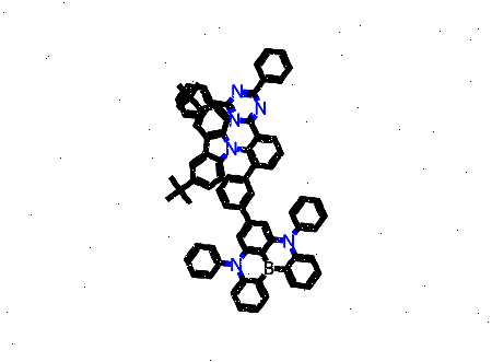 CC(C)(C)c1ccc2c(c1)c1cc(C(C)(C)C)ccc1n2-c1c(-c2cccc(-c3cc4c5c(c3)N(c3ccccc3)c3ccccc3B5c3ccccc3N4c3ccccc3)c2)cccc1-c1nc(-c2ccccc2)nc(-c2ccccc2)n1